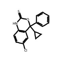 S=C1Nc2ccc(Cl)cc2C(c2ccccc2)(C2CC2)O1